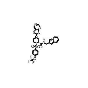 O=C(NCc1cc2ccccn2c1)[C@H]1CN(c2nc3ncncc3s2)CCN1S(=O)(=O)c1ccc(OC(F)(F)F)cc1